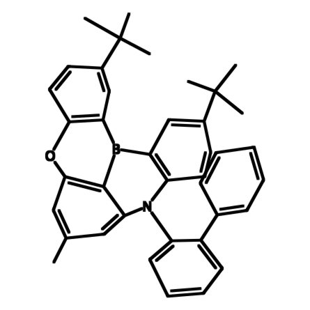 Cc1cc2c3c(c1)N(c1ccccc1-c1ccccc1)c1ccc(C(C)(C)C)cc1B3c1cc(C(C)(C)C)ccc1O2